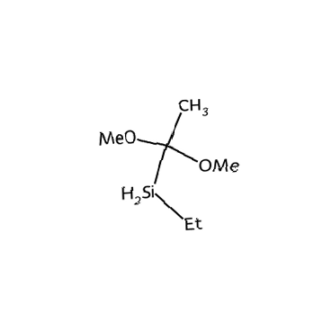 CC[SiH2]C(C)(OC)OC